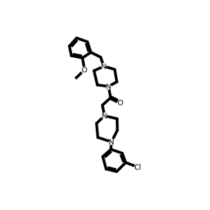 COc1ccccc1CN1CCN(C(=O)CN2CCN(c3cccc(Cl)c3)CC2)CC1